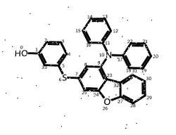 Oc1cccc(Sc2cc(N(c3ccccc3)c3ccccc3)c3c(c2)oc2ccccc23)c1